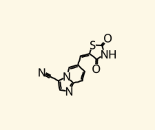 N#Cc1cnc2ccc(C=C3SC(=O)NC3=O)cn12